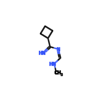 CN/C=N\C(=N)C1CCC1